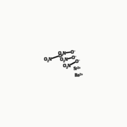 O=[N+]([O-])[O-].O=[N+]([O-])[O-].O=[N+]([O-])[O-].O=[N+]([O-])[O-].[Ba+2].[Sr+2]